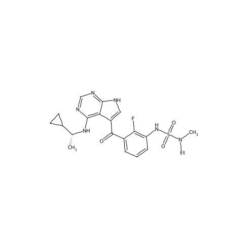 CCN(C)S(=O)(=O)Nc1cccc(C(=O)c2c[nH]c3ncnc(N[C@H](C)C4CC4)c23)c1F